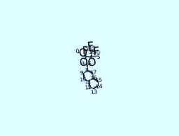 COC(=O)C(C)(OCc1ccc2ccccc2c1)C(F)(F)F